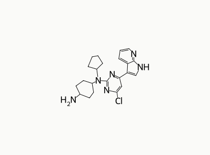 NC1CCC(N(c2nc(Cl)cc(-c3c[nH]c4ncccc34)n2)C2CCCC2)CC1